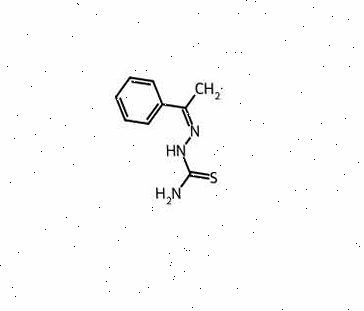 [CH2]/C(=N/NC(N)=S)c1ccccc1